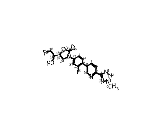 Cn1nnc(-c2ccc(-c3ccc(N4C[C@@H](C(O)CF)OC4=O)cc3F)cn2)n1